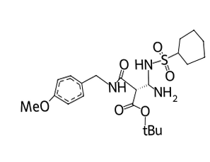 COc1ccc(CNC(=O)[C@@H](C(=O)OC(C)(C)C)C(N)NS(=O)(=O)C2CCCCC2)cc1